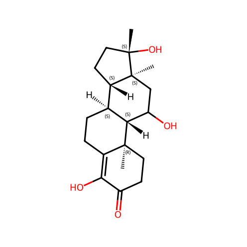 C[C@]12CCC(=O)C(O)=C1CC[C@@H]1[C@@H]2C(O)C[C@@]2(C)[C@H]1CC[C@]2(C)O